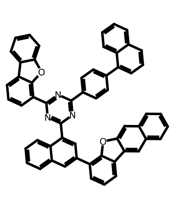 c1ccc2cc3c(cc2c1)oc1c(-c2cc(-c4nc(-c5ccc(-c6cccc7ccccc67)cc5)nc(-c5cccc6c5oc5ccccc56)n4)c4ccccc4c2)cccc13